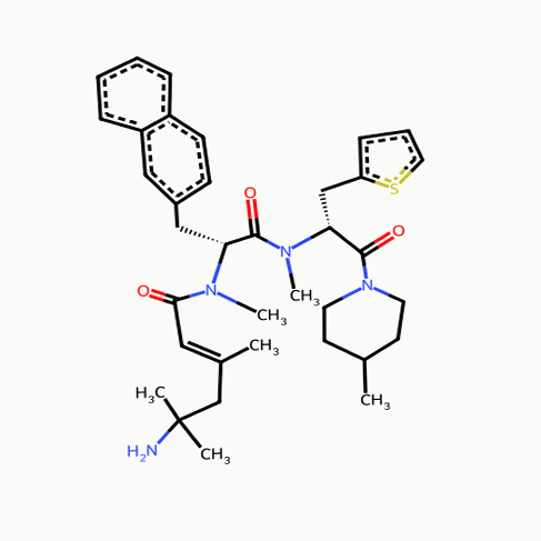 C/C(=C\C(=O)N(C)[C@H](Cc1ccc2ccccc2c1)C(=O)N(C)[C@H](Cc1cccs1)C(=O)N1CCC(C)CC1)CC(C)(C)N